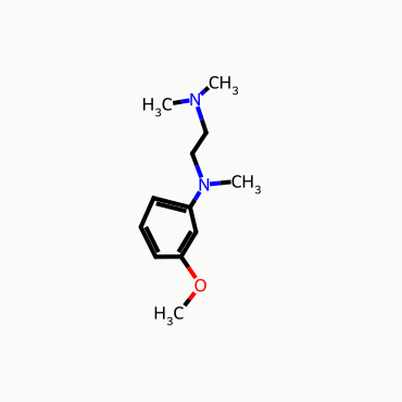 COc1cccc(N(C)CCN(C)C)c1